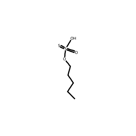 CCCCCOS(=O)(O)=S